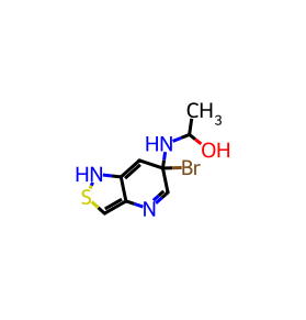 CC(O)NC1(Br)C=NC2=CSNC2=C1